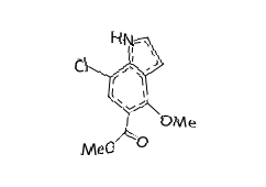 COC(=O)c1cc(Cl)c2[nH]ccc2c1OC